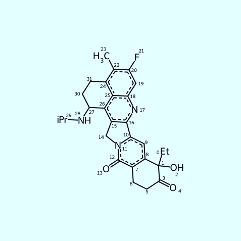 CCC1(O)C(=O)CCc2c1cc1n(c2=O)Cc2c-1nc1cc(F)c(C)c3c1c2C(NC(C)C)CC3